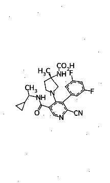 CC(NC(=O)c1cnc(C#N)c(-c2cc(F)cc(F)c2)c1N1CC[C@](C)(NC(=O)O)C1)C1CC1